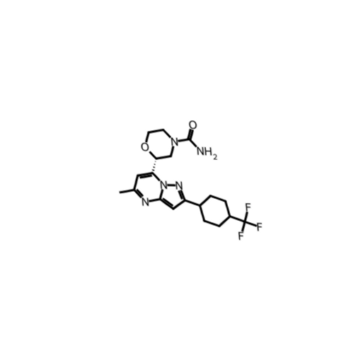 Cc1cc([C@H]2CN(C(N)=O)CCO2)n2nc(C3CCC(C(F)(F)F)CC3)cc2n1